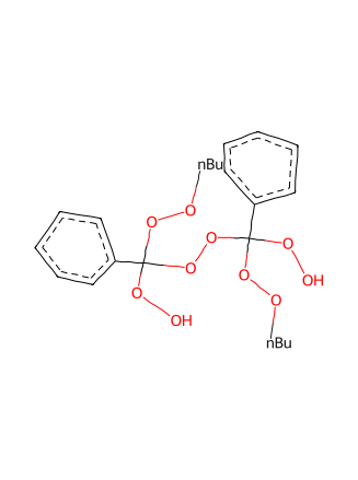 CCCCOOC(OO)(OOC(OO)(OOCCCC)c1ccccc1)c1ccccc1